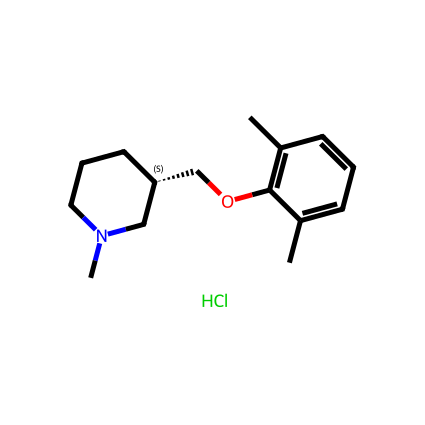 Cc1cccc(C)c1OC[C@H]1CCCN(C)C1.Cl